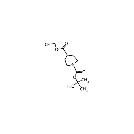 CC(C)(C)OC(=O)N1CCC(C(=O)OCCl)CC1